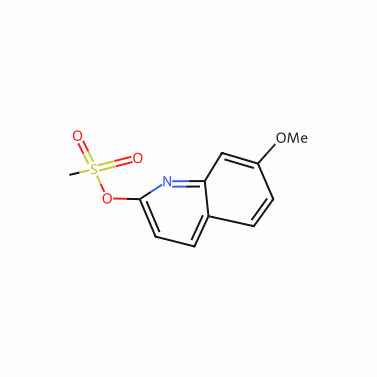 COc1ccc2ccc(OS(C)(=O)=O)nc2c1